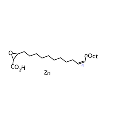 CCCCCCCC/C=C\CCCCCCCCCC1OC1C(=O)O.[Zn]